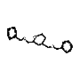 c1ccc(COCC2CC[N]C(COCc3ccccc3)C2)cc1